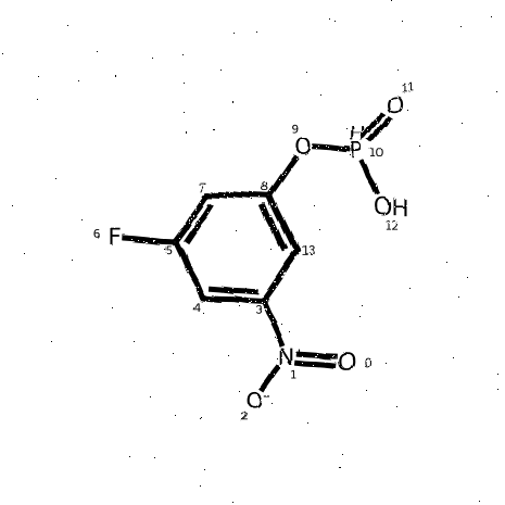 O=[N+]([O-])c1cc(F)cc(O[PH](=O)O)c1